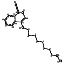 CCOCCCCCCCCOC1=COS(=O)c2ccccc21